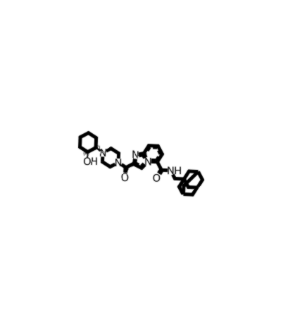 O=C(NCC12CC3CC(CC(C3)C1)C2)c1cccc2nc(C(=O)N3CCN([C@@H]4CCCC[C@H]4O)CC3)cn12